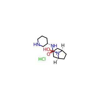 Cl.O=C(N[C@H]1CCCNC1)N1[C@@H]2CC[C@H]1C[C@@H](O)C2